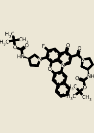 CC(C)(C)OC(=O)N[C@@H]1CCN(C(=O)c2cn3c4c(c(N5CC[C@@H](NC(=O)OC(C)(C)C)C5)c(F)cc4c2=O)Oc2cc4ccccc4cc2-3)C1